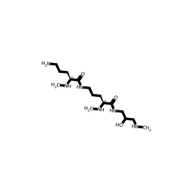 CNCC(O)CNC(=O)[C@H](CCCNC(=O)[C@H](CCCN)NC)NC